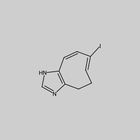 IC1=C\CCc2nc[nH]c2/C=C\1